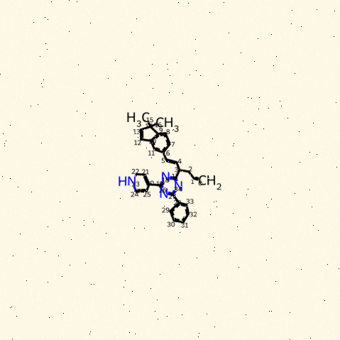 C=CCC(/C=C/c1ccc2c(c1)C=CC2(C)C)c1nc(C2=CCNC=C2)nc(-c2ccccc2)n1